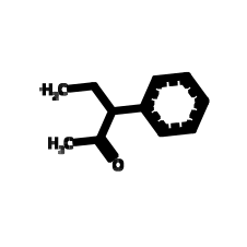 [CH2]CC(C(C)=O)c1ccccc1